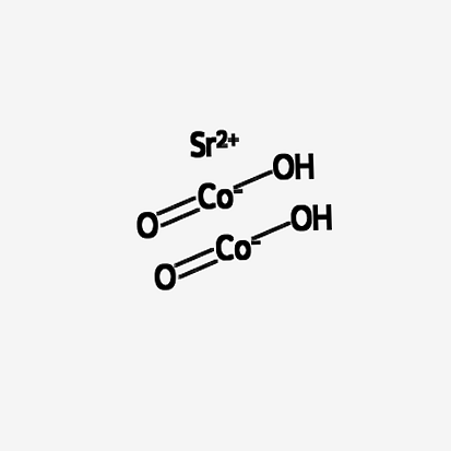 [O]=[Co-][OH].[O]=[Co-][OH].[Sr+2]